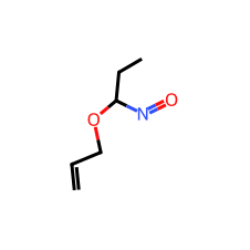 C=CCOC(CC)N=O